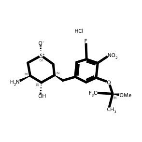 CO[C@](C)(Oc1cc(C[C@@H]2C[S@@+]([O-])C[C@H](N)[C@H]2O)cc(F)c1[N+](=O)[O-])C(F)(F)F.Cl